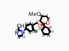 COC1CCOC(OCc2ccc(-n3ccnc3C)cc2F)(c2ccccc2)C1